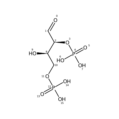 O=C[C@@H](OP(=O)(O)O)[C@H](O)COP(=O)(O)O